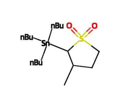 CCC[CH2][Sn]([CH2]CCC)([CH2]CCC)[CH]1C(C)CCS1(=O)=O